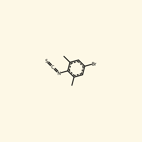 Cc1cc(Br)cc(C)c1N=C=S